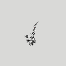 C=C(C)C(=O)OCC(CS)(COC(=O)C(=C)C)COc1c(CCCS)cc(-c2ccc(-c3ccc(C4CCC(CCCCC)CC4)cc3)cc2CC)cc1CCCS